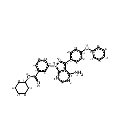 Nc1ncnc2c1c(-c1ccc(Oc3ccccc3)cc1)nn2-c1cccc(C(=O)OC2CCCCC2)c1